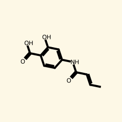 CC=CC(=O)Nc1ccc(C(=O)O)c(O)c1